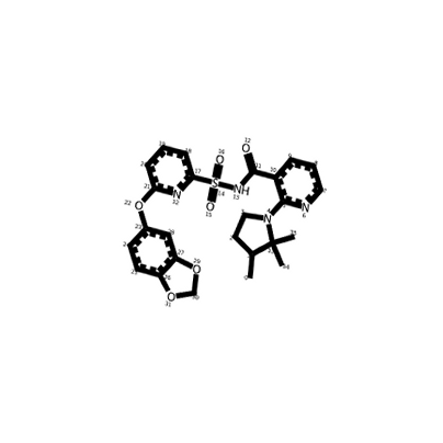 CC1CCN(c2ncccc2C(=O)NS(=O)(=O)c2cccc(Oc3ccc4c(c3)OCO4)n2)C1(C)C